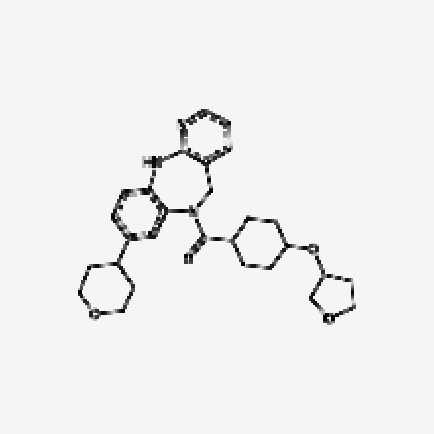 O=C(C1CCC(OC2CCOC2)CC1)N1Cc2cccnc2Nc2ccc(C3CCOCC3)cc21